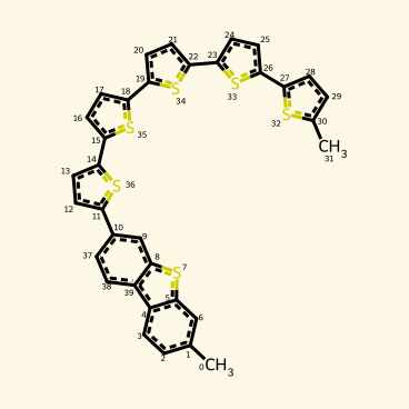 Cc1ccc2c(c1)sc1cc(-c3ccc(-c4ccc(-c5ccc(-c6ccc(-c7ccc(C)s7)s6)s5)s4)s3)ccc12